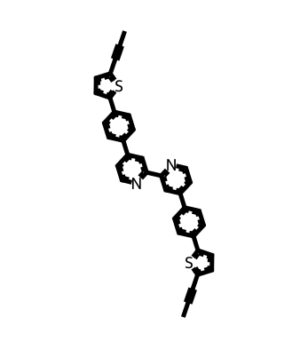 CC#Cc1ccc(-c2ccc(-c3ccnc(-c4cc(-c5ccc(-c6ccc(C#CC)s6)cc5)ccn4)c3)cc2)s1